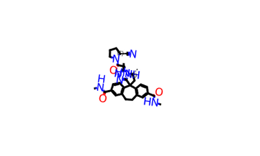 CNC(=O)c1ccc2c(c1)CCc1cc(C(=O)NC)ccc1C2(C[C@@H](C)NCC(=O)N1CCC[C@H]1C#N)c1nnc(C)[nH]1